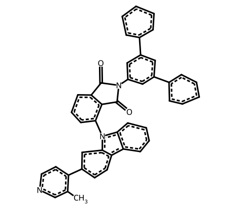 Cc1cnccc1-c1ccc2c3ccccc3n(-c3cccc4c3C(=O)N(c3cc(-c5ccccc5)cc(-c5ccccc5)c3)C4=O)c2c1